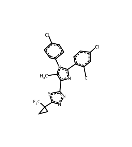 Cc1c(-c2nnc(C3(C(F)(F)F)CC3)s2)nc(-c2ccc(Cl)cc2Cl)n1-c1ccc(Cl)cc1